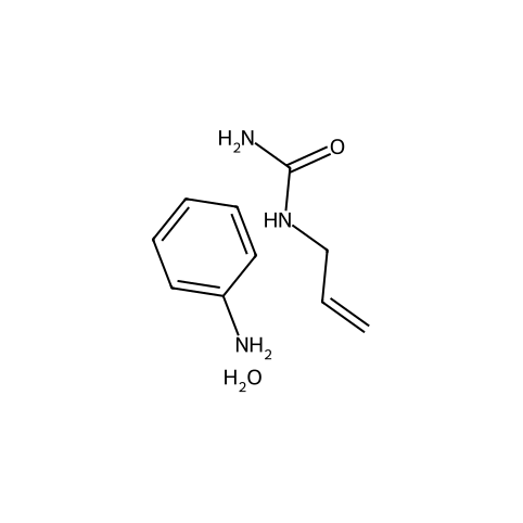 C=CCNC(N)=O.Nc1ccccc1.O